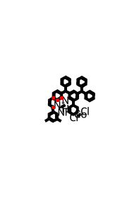 Cc1cc(C)c(NC(C)[n+]2ccccc2C(C)Nc2c(C3CCCCC3)cc(C(c3ccccc3)c3ccccc3)cc2C(c2ccccc2)c2ccccc2)c(C)c1.[Cl][Co][Cl]